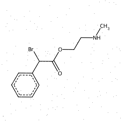 CNCCOC(=O)C(Br)c1ccccc1